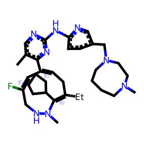 CC/C1=C(/C2CCCC2)N(C)NC/C(F)=C\C(c2nc(Nc3ccc(CN4CCCCN(C)CC4)cn3)ncc2C)=C/C1